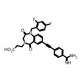 N=C(N)c1ccc(C#Cc2ccc3c(c2)C(=O)N(CCC(=O)O)CC(=O)N3Cc2ccc(F)cc2F)cc1